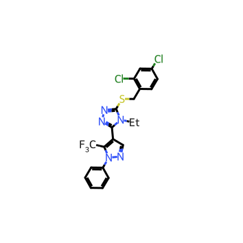 CCn1c(SCc2ccc(Cl)cc2Cl)nnc1-c1cnn(-c2ccccc2)c1C(F)(F)F